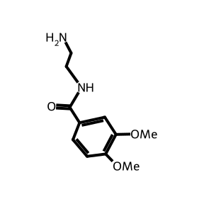 COc1ccc(C(=O)NCCN)cc1OC